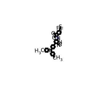 Cc1ccc(N(c2ccc(C)cc2)c2ccc(-c3ccc(/N=c4\c(=O)c(=O)c5cc(C(F)(F)F)ccc45)c4nsnc34)cc2)cc1